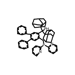 PC(c1cc(-c2ccccc2)c(-c2ccccc2)cc1CP(c1ccccn1)c1ccccn1)(C12CC3CC(CC(C3)C1)C2)C12CC3CC(CC(C3)C1)C2